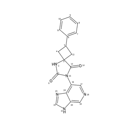 O=C1NC2(CC(c3ccccc3)C2)C(=O)N1c1cncc2[nH]cnc12